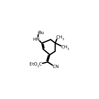 CCOC(=O)C(C#N)=C1C=C(NC(C)CC)CC(C)(C)C1